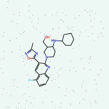 Cc1noc(-c2cc3c(F)cccc3nc2N2CCC(NC3CCCCC3)C(CO)C2)n1